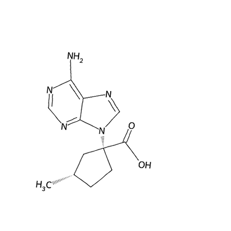 C[C@H]1CC[C@@](C(=O)O)(n2cnc3c(N)ncnc32)C1